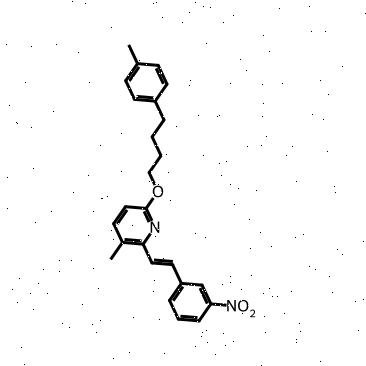 Cc1ccc(CCCCOc2ccc(C)c(C=Cc3cccc([N+](=O)[O-])c3)n2)cc1